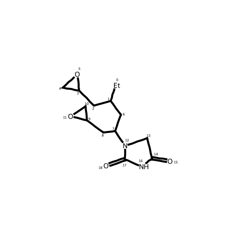 CCC(CC1CO1)CC(CC1CO1)N1CC(=O)NC1=O